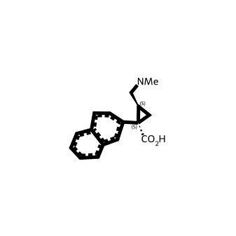 CNC[C@H]1C[C@@]1(C(=O)O)c1ccc2ccccc2c1